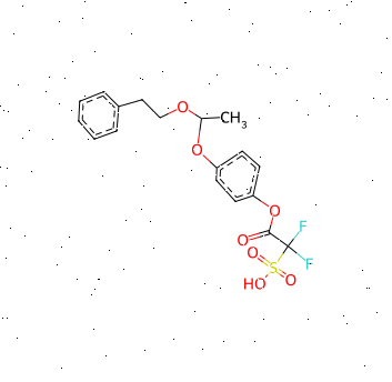 CC(OCCc1ccccc1)Oc1ccc(OC(=O)C(F)(F)S(=O)(=O)O)cc1